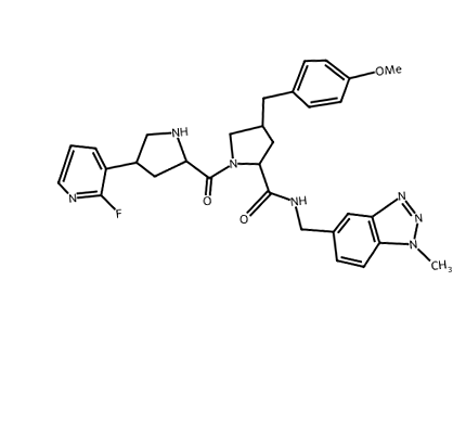 COc1ccc(CC2CC(C(=O)NCc3ccc4c(c3)nnn4C)N(C(=O)C3CC(c4cccnc4F)CN3)C2)cc1